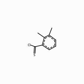 Cc1cccc(C(=S)Cl)c1C